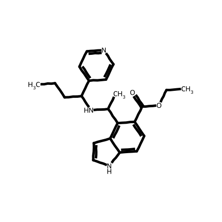 CCCC(NC(C)c1c(C(=O)OCC)ccc2[nH]ccc12)c1ccncc1